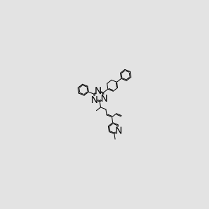 C=C/C(=C\CC(C)c1nc(C2=CC=C(c3ccccc3)CC2)nc(-c2ccccc2)n1)c1ccc(C)nc1